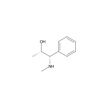 CN[C@@H](c1ccccc1)[C@H](C)O